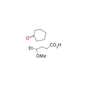 O=C1CCCCC1.[CH2]CC(CCC(=O)O)OC